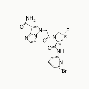 NC(=O)c1cn(CC(=O)N2C[C@H](F)C[C@H]2C(=O)Nc2cccc(Br)n2)n2ccnc12